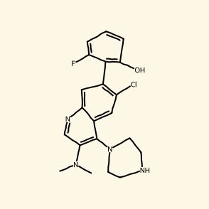 CN(C)c1cnc2cc(-c3c(O)cccc3F)c(Cl)cc2c1N1CCNCC1